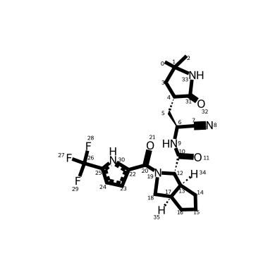 CC1(C)C[C@@H](C[C@@H](C#N)NC(=O)[C@@H]2[C@H]3CCC[C@H]3CN2C(=O)c2ccc(C(F)(F)F)[nH]2)C(=O)N1